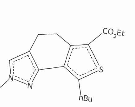 CCCCc1sc(C(=O)OCC)c2c1-c1nn(C)cc1CC2